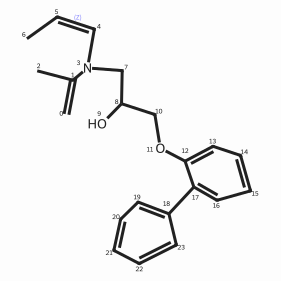 C=C(C)N(/C=C\C)CC(O)COc1ccccc1-c1ccccc1